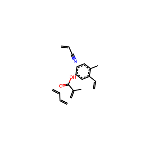 C=C(C)C(=O)O.C=CC#N.C=CC=C.C=Cc1ccccc1C